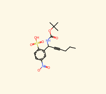 CCCC#CC(NC(=O)OC(C)(C)C)c1cc([N+](=O)[O-])ccc1S(=O)(=O)O